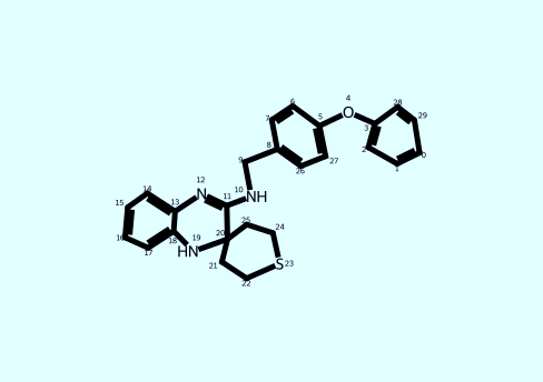 c1ccc(Oc2ccc(CNC3=Nc4ccccc4NC34CCSCC4)cc2)cc1